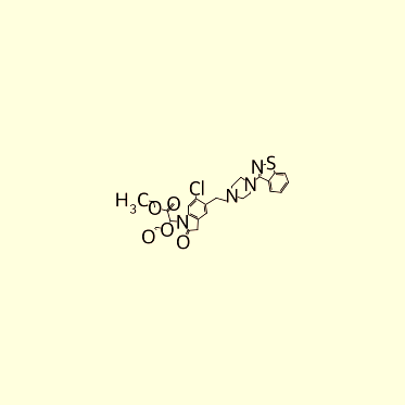 CCOC(=O)C(OC=O)N1C(=O)Cc2cc(CCN3CCN(c4nsc5ccccc45)CC3)c(Cl)cc21